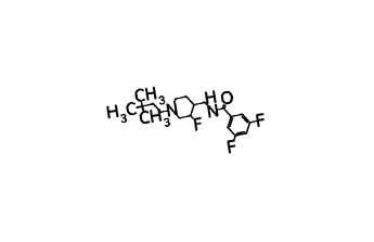 CC(C)(C)CCN1CCC(CNC(=O)c2cc(F)cc(F)c2)C(F)C1